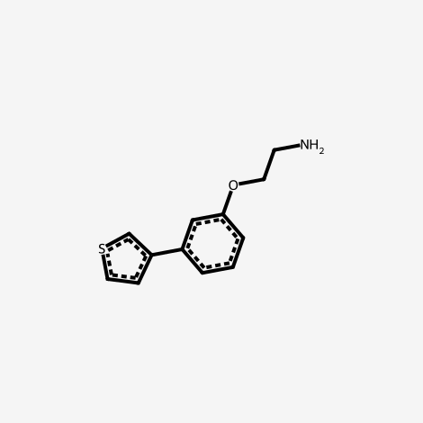 NCCOc1cccc(-c2ccsc2)c1